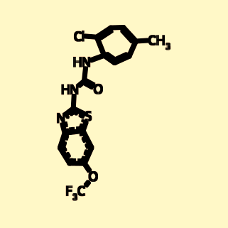 CC1=CC=C(Cl)C(NC(=O)Nc2nc3ccc(OC(F)(F)F)cc3s2)=C=C1